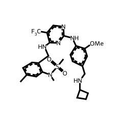 COc1cc(CNC2CCC2)ccc1Nc1ncc(C(F)(F)F)c(NCc2ccc(C)cc2N(C)S(C)(=O)=O)n1